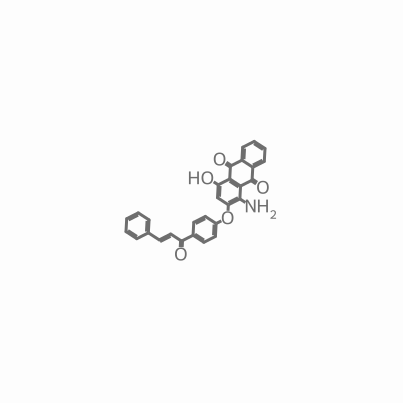 Nc1c(Oc2ccc(C(=O)C=Cc3ccccc3)cc2)cc(O)c2c1C(=O)c1ccccc1C2=O